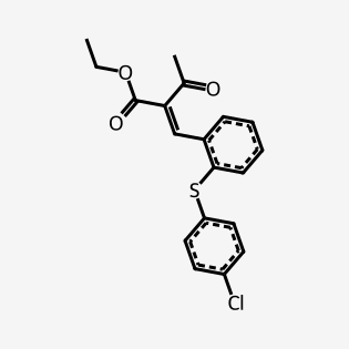 CCOC(=O)/C(=C/c1ccccc1Sc1ccc(Cl)cc1)C(C)=O